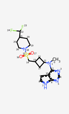 CN(c1ncnc2[nH]ccc12)C1CC(CS(=O)(=O)N2CCC(C(F)F)CC2)C1